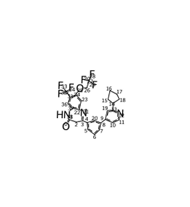 O=C1CC(c2cccc(-c3ccnc(C4CCCC4)c3)c2)=Nc2cc(OCC(F)(F)F)c(C(F)(F)F)cc2N1